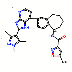 Cc1nn(C)c(C)c1-c1nc2nccc(-c3ccc4c(c3)CCCC[C@H]4NC(=O)c3cc(C(C)(C)C)on3)c2[nH]1